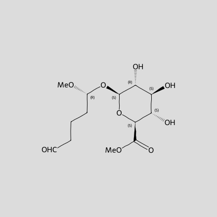 COC(=O)[C@H]1O[C@@H](O[C@H](CCCC=O)OC)[C@H](O)[C@@H](O)[C@@H]1O